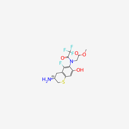 COC(=O)CN(C(=O)C(F)(F)F)c1c(O)cc2c(c1F)C[C@H](N)CS2